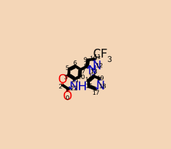 O=C1COc2ccc(-c3cc(C(F)(F)F)nn3-c3cccnc3)cc2N1